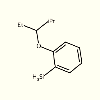 CCC(Oc1ccccc1[SiH3])C(C)C